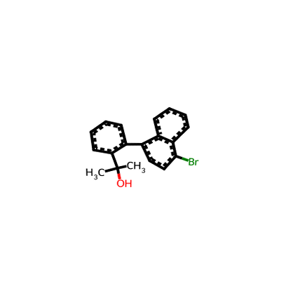 CC(C)(O)c1ccccc1-c1ccc(Br)c2ccccc12